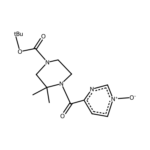 CC(C)(C)OC(=O)N1CCN(C(=O)c2cc[n+]([O-])cn2)C(C)(C)C1